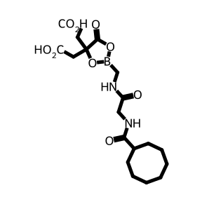 O=C(O)CC1(CC(=O)O)OB(CNC(=O)CNC(=O)C2CCCCCCC2)OC1=O